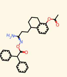 CC(=O)Oc1cccc2c1CCCC2CCC(N)=NOC(=O)C(c1ccccc1)c1ccccc1